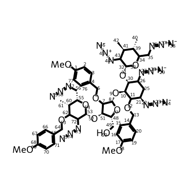 COc1ccc(COC2[C@H](O[C@@H]3C(OCc4ccc(OC)cc4)[C@H](N=[N+]=[N-])CC(N=[N+]=[N-])[C@H]3O[C@H]3OC(CN=[N+]=[N-])[C@@H](C)[C@H](C)C3N=[N+]=[N-])O[C@H](CO)[C@@H]2O[C@H]2O[C@@H](CN=[N+]=[N-])[C@@H](C)C(OCc3ccc(OC)cc3)C2N=[N+]=[N-])cc1